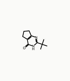 CC(C)(C)c1nc2c(c(=O)[nH]1)CCC2